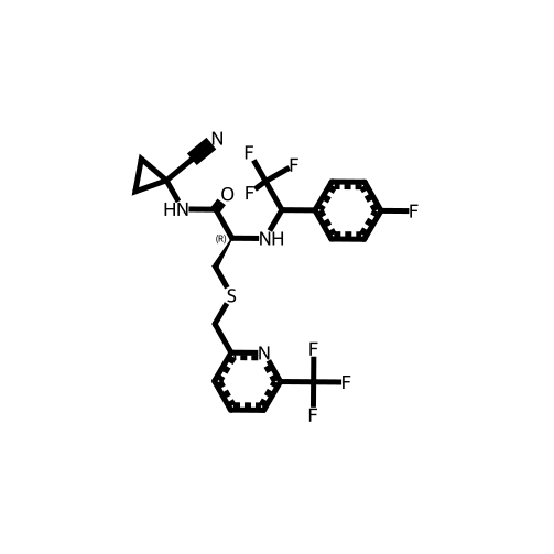 N#CC1(NC(=O)[C@H](CSCc2cccc(C(F)(F)F)n2)NC(c2ccc(F)cc2)C(F)(F)F)CC1